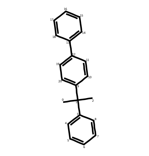 CC(C)(c1ccccc1)c1ccc(-c2ccccc2)cc1